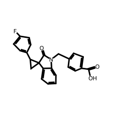 O=C(O)c1ccc(CN2C(=O)C3(CC3c3ccc(F)cc3)c3ccccc32)cc1